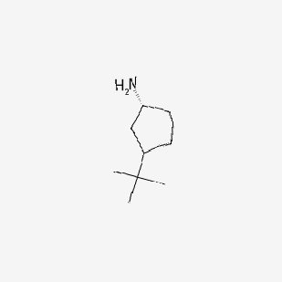 CC(C)(C)C1CC[C@@H](N)C1